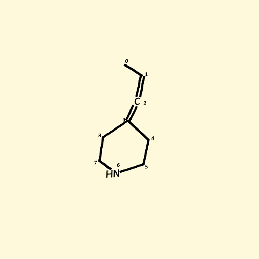 CC=C=C1CCNCC1